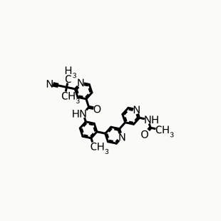 CC(=O)Nc1cc(-c2cc(-c3cc(NC(=O)c4ccnc(C(C)(C)C#N)c4)ccc3C)ccn2)ccn1